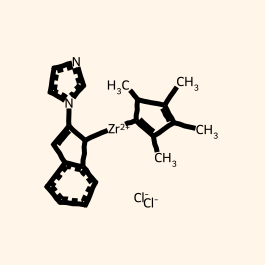 CC1=C(C)C(C)[C]([Zr+2][CH]2C(n3ccnc3)=Cc3ccccc32)=C1C.[Cl-].[Cl-]